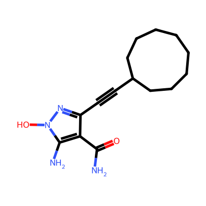 NC(=O)c1c(C#CC2CCCCCCCC2)nn(O)c1N